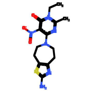 CCn1c(C)nc(N2CCc3nc(N)sc3CC2)c([N+](=O)[O-])c1=O